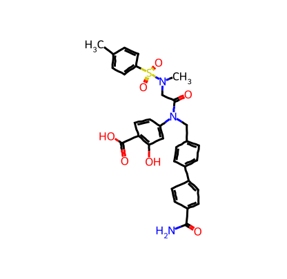 Cc1ccc(S(=O)(=O)N(C)CC(=O)N(Cc2ccc(-c3ccc(C(N)=O)cc3)cc2)c2ccc(C(=O)O)c(O)c2)cc1